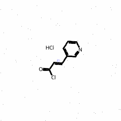 Cl.O=C(Cl)/C=C/c1cccnc1